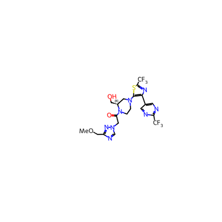 COCc1ncn(CC(=O)N2CCN(c3sc(C(F)(F)F)nc3-c3cnc(C(F)(F)F)nc3)C[C@@H]2CO)n1